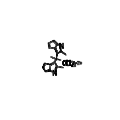 CC1=NC2=CC=CC2=C1C(C)(C)C1=C2C=CC=C2N=C1C.[Cl-].[Cl-].[Zr+2]